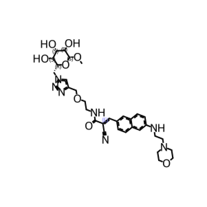 CO[C@H]1O[C@H](Cn2cc(COCCNC(=O)/C(C#N)=C/c3ccc4cc(NCCN5CCOCC5)ccc4c3)nn2)[C@@H](O)[C@H](O)[C@H]1O